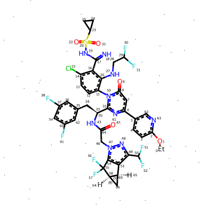 CCOc1ccc(-c2cc(=O)n(-c3ccc(Cl)c(C(=N)NS(=O)(=O)C4CC4)c3NCC(F)F)c([C@H](Cc3cc(F)cc(F)c3)NC(=O)Cn3nc(C(F)F)c4c3C(F)(F)[C@@H]3C[C@H]43)n2)cn1